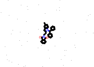 Cc1ccc2c(c1)cc(CCN1C(=O)c3ccccc3C1=O)n2C(c1ccccc1)c1ccccc1